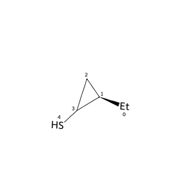 CC[C@@H]1CC1S